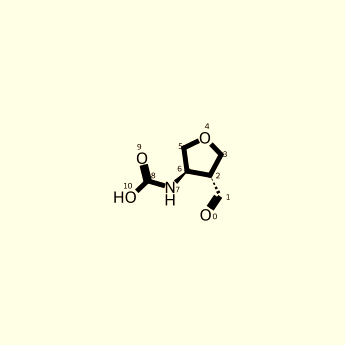 O=C[C@H]1COC[C@@H]1NC(=O)O